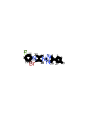 CC1C=CC(c2cnc(N3CC4CN(c5cc(F)ccc5Br)CC4C3)nc2)=C1